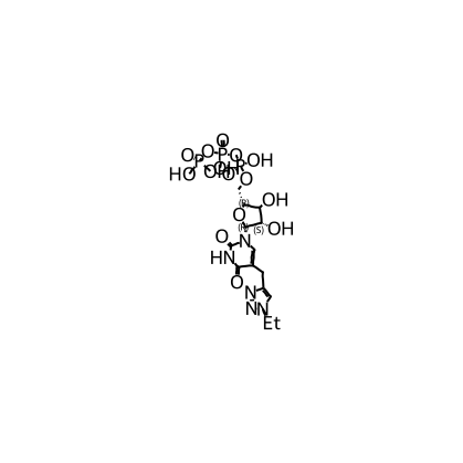 CCn1cc(Cc2cn([C@@H]3O[C@H](COP(=O)(O)OP(=O)(O)OP(=O)(O)O)C(O)[C@@H]3O)c(=O)[nH]c2=O)nn1